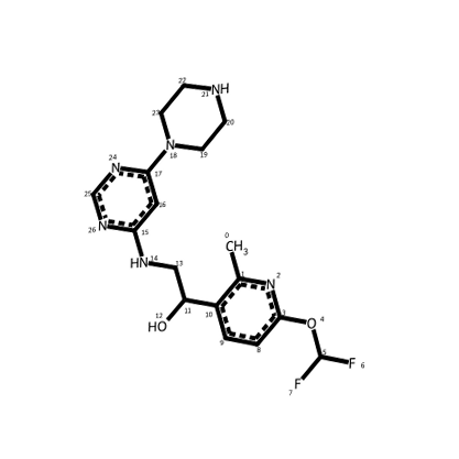 Cc1nc(OC(F)F)ccc1C(O)CNc1cc(N2CCNCC2)ncn1